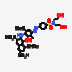 COc1cc(/N=N/c2ccc(S(=O)(=O)N(CCO)CCO)cc2)c(C)cc1Nc1c(S(=O)(=O)O)cc2cc(S(=O)(=O)O)cc(NC(C)=O)c2c1O